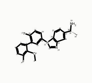 COc1c(F)cccc1-c1cc(-n2cnc3cc([C@@H](C)N)ccc32)ccc1F